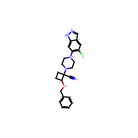 N#CC1(N2CCN(c3cc4[nH]ncc4cc3Cl)CC2)CCC1OCc1ccccc1